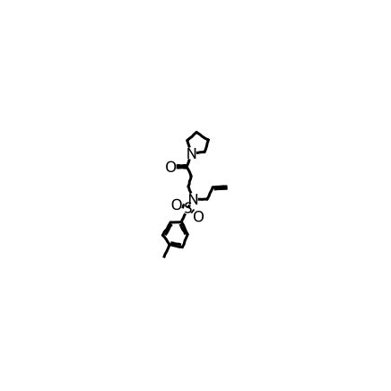 C=CCN(CCC(=O)N1CCCC1)S(=O)(=O)c1ccc(C)cc1